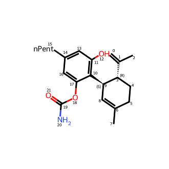 C=C(C)[C@@H]1CCC(C)=C[C@H]1c1c(O)cc(CCCCC)cc1OC(N)=O